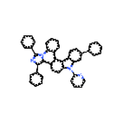 c1ccc(-c2ccc3c4c5c6ccccc6n6c(-c7ccccc7)nc(-c7ccccc7)c6c5ccc4n(-c4ccccn4)c3c2)cc1